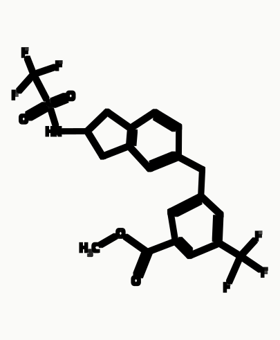 COC(=O)c1cc(Cc2ccc3c(c2)CC(NS(=O)(=O)C(F)(F)F)C3)cc(C(F)(F)F)c1